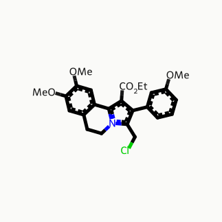 CCOC(=O)c1c(-c2cccc(OC)c2)c(CCl)n2c1-c1cc(OC)c(OC)cc1CC2